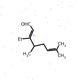 CC/C(=C\C=O)C(C)CC=C(C)C